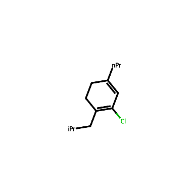 CCCC1=CC(Cl)=C(CC(C)C)CC1